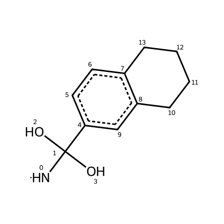 [NH]C(O)(O)c1ccc2c(c1)CCCC2